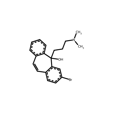 CN(C)CCCC1(O)c2ccccc2C=Cc2ccc(Br)cc21